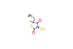 CC(C)CC1(C)SC(=O)N(S)C1=O